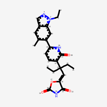 CCn1ncc2cc(C)c(-c3ccc(C(C=C4OC(=O)NC4=O)(CC)CC)c(=O)[nH]3)cc21